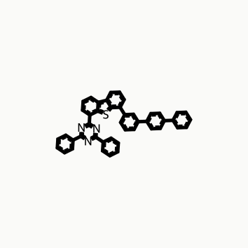 c1ccc(-c2ccc(-c3cccc(-c4cccc5c4sc4c(-c6nc(-c7ccccc7)nc(-c7ccccc7)n6)cccc45)c3)cc2)cc1